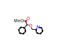 COC(=O)C(OCc1ccccn1)c1ccccc1